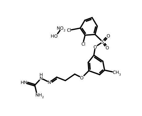 Cc1cc(OCCC=NNC(=N)N)cc(OS(=O)(=O)c2cccc(Cl)c2Cl)c1.O=[N+]([O-])O